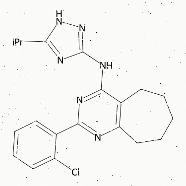 CC(C)c1nc(Nc2nc(-c3ccccc3Cl)nc3c2CCCCC3)n[nH]1